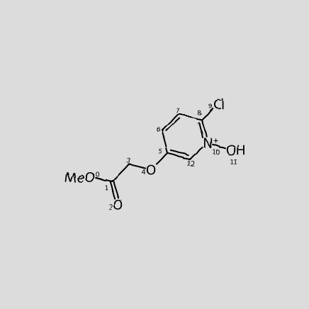 COC(=O)COc1ccc(Cl)[n+](O)c1